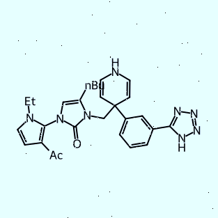 CCCCc1cn(-c2c(C(C)=O)ccn2CC)c(=O)n1CC1(c2cccc(-c3nnn[nH]3)c2)C=CNC=C1